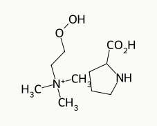 C[N+](C)(C)CCOO.O=C(O)C1CCCN1